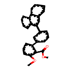 COC(=O)c1c(OC)cccc1-c1cccc(-c2cc3ccccc3c3ccccc23)c1